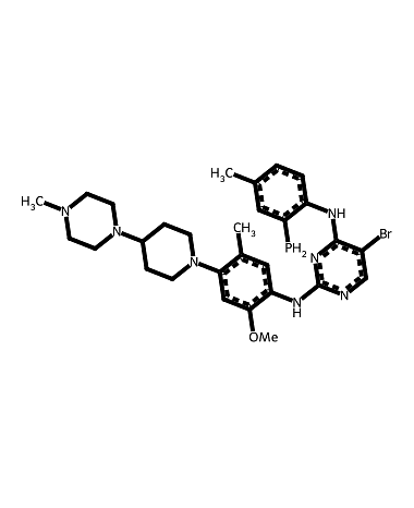 COc1cc(N2CCC(N3CCN(C)CC3)CC2)c(C)cc1Nc1ncc(Br)c(Nc2ccc(C)cc2P)n1